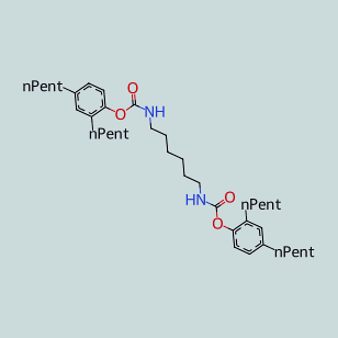 CCCCCc1ccc(OC(=O)NCCCCCCNC(=O)Oc2ccc(CCCCC)cc2CCCCC)c(CCCCC)c1